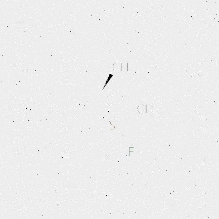 C[C@@H]1CCCS1(C)F